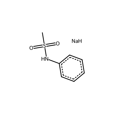 CS(=O)(=O)Nc1ccccc1.[NaH]